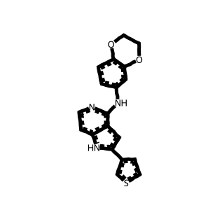 c1cc2[nH]c(-c3ccsc3)cc2c(Nc2ccc3c(c2)OCCO3)n1